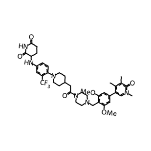 COc1cc(-c2cn(C)c(=O)c(C)c2C)cc(OC)c1CN1CCN(C(=O)CC2CCN(c3ccc(NC4CCC(=O)NC4=O)cc3C(F)(F)F)CC2)CC1